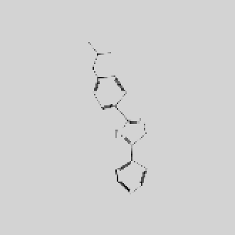 CC(C)Cc1ccc(C2=NCC(c3ccccc3)=N2)cc1